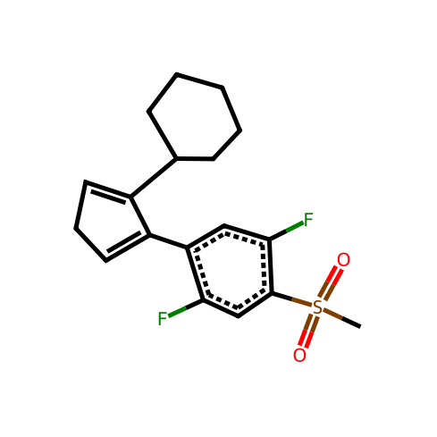 CS(=O)(=O)c1cc(F)c(C2=CCC=C2C2CCCCC2)cc1F